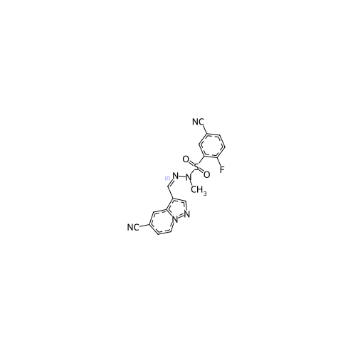 CN(/N=C\c1cnn2ccc(C#N)cc12)S(=O)(=O)c1cc(C#N)ccc1F